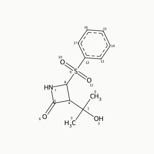 CC(C)(O)C1C(=O)NC1S(=O)(=O)c1ccccc1